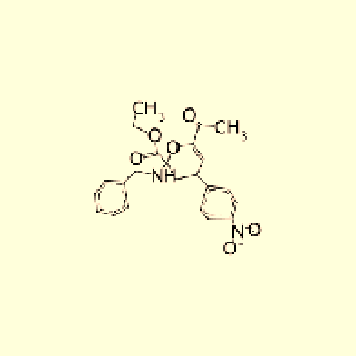 CCOC(=O)C1(NCc2ccccc2)CC(c2ccc([N+](=O)[O-])cc2)C=C(C(C)=O)O1